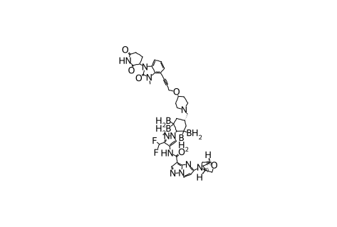 BC1(B)C[C@H](CN2CCC(OCC#Cc3cccc4c3n(C)c(=O)n4C3CCC(=O)NC3=O)CC2)CC(B)(B)[C@H]1n1cc(NC(=O)c2cnn3ccc(N4C[C@H]5C[C@@H]4CO5)nc23)c(C(F)F)n1